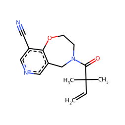 C=CC(C)(C)C(=O)N1CCOc2c(C#N)cncc2C1